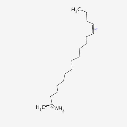 CCC/C=C\CCCCCCCCCCC[C@H](C)N